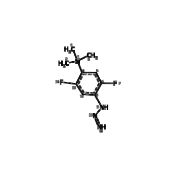 C[Si](C)(C)c1cc(F)c(NN=N)cc1F